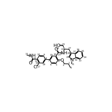 CCCOc1ccc(-c2ccc(C(=O)NC)c(Cl)c2)cc1C(=O)N[C@@H](CO)Cc1cn(C)c2ccccc12